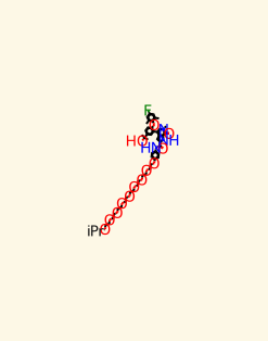 Cc1cc(F)cc(C)c1Oc1ccc(C(C)(C)O)cc1-c1cn(C)c(=O)c2[nH]c(C(=O)Nc3ccc(OCCOCCOCCOCCOCCOCCOCCOCCOC(C)C)cc3)cc12